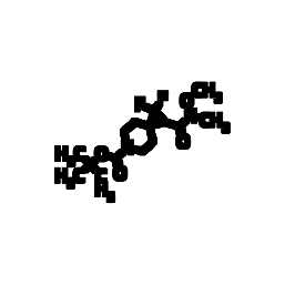 CON(C)C(=O)C1C(F)(F)C12CCN(C(=O)OC(C)(C)C)CC2